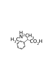 CC(C(=O)O)c1ccccc1.CN